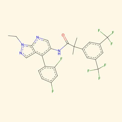 CCn1ncc2c(-c3ccc(F)cc3F)c(NC(=O)C(C)(C)c3cc(C(F)(F)F)cc(C(F)(F)F)c3)cnc21